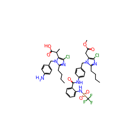 CCCCc1nc(Cl)c(C(C)C(=O)O)n1Cc1ccc(N)cc1.CCCCc1nc(Cl)c(CC(=O)OC)n1Cc1ccc(NC(=O)c2ccccc2NS(=O)(=O)C(F)(F)F)cc1